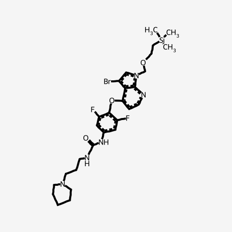 C[Si](C)(C)CCOCn1cc(Br)c2c(Oc3c(F)cc(NC(=O)NCCCN4CCCCC4)cc3F)ccnc21